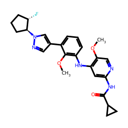 COc1cnc(NC(=O)C2CC2)cc1Nc1cccc(-c2cnn([C@H]3CCC[C@@H]3F)c2)c1OC